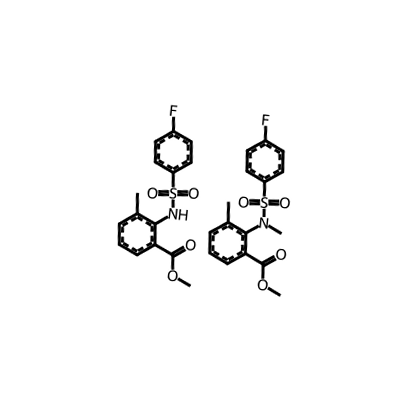 COC(=O)c1cccc(C)c1N(C)S(=O)(=O)c1ccc(F)cc1.COC(=O)c1cccc(C)c1NS(=O)(=O)c1ccc(F)cc1